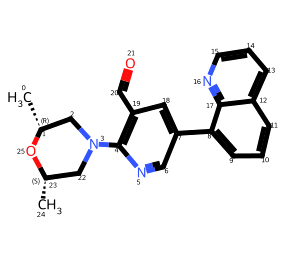 C[C@@H]1CN(c2ncc(-c3cccc4cccnc34)cc2C=O)C[C@H](C)O1